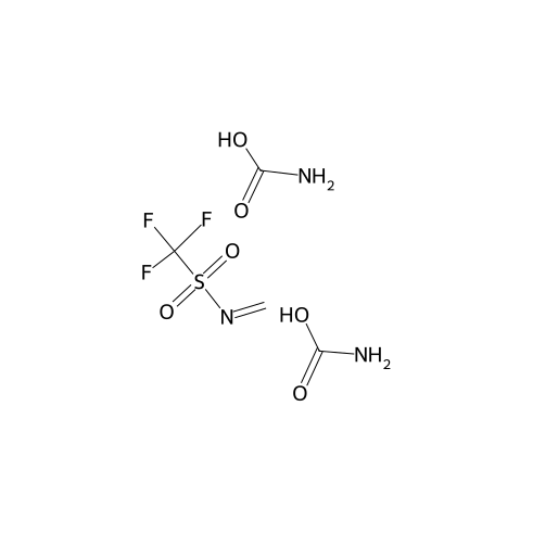 C=NS(=O)(=O)C(F)(F)F.NC(=O)O.NC(=O)O